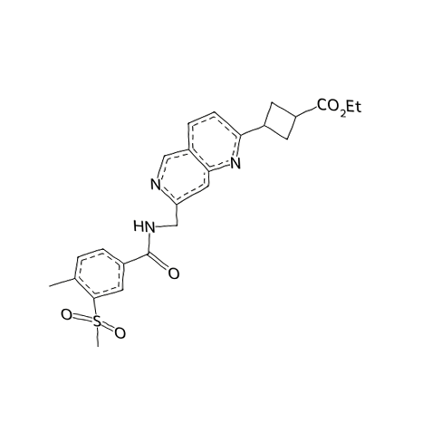 CCOC(=O)C1CC(c2ccc3cnc(CNC(=O)c4ccc(C)c(S(C)(=O)=O)c4)cc3n2)C1